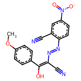 COc1ccc(/C(O)=C(C#N)\N=N\c2ccc([N+](=O)[O-])cc2C#N)cc1